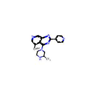 COc1cncc2nc(-c3ccncc3)nc(N3CCNC(C(F)(F)F)C3)c12